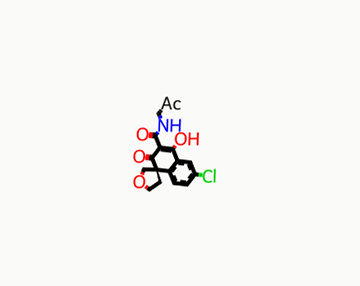 CC(=O)CNC(=O)C1=C(O)c2cc(Cl)ccc2[C@@]2(CCOC2)C1=O